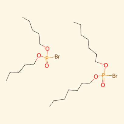 CCCCCCCOP(=O)(Br)OCCCCCCC.CCCCCOP(=O)(Br)OCCCCC